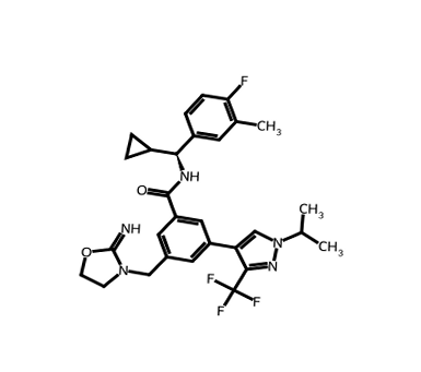 Cc1cc([C@@H](NC(=O)c2cc(CN3CCOC3=N)cc(-c3cn(C(C)C)nc3C(F)(F)F)c2)C2CC2)ccc1F